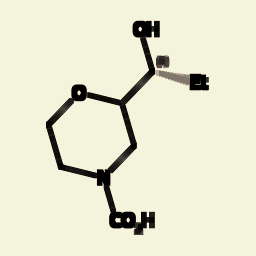 CC[C@@H](O)C1CN(C(=O)O)CCO1